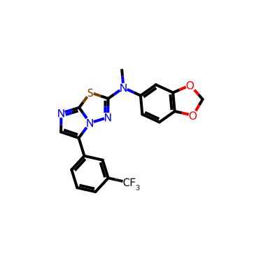 CN(c1ccc2c(c1)OCO2)c1nn2c(-c3cccc(C(F)(F)F)c3)cnc2s1